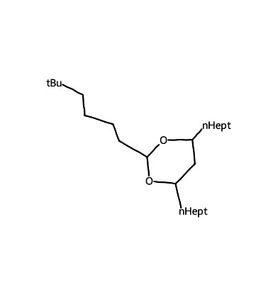 CCCCCCCC1CC(CCCCCCC)OC(CCCCC(C)(C)C)O1